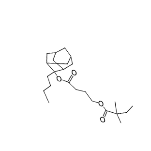 CCCCC1(OC(=O)CCCOC(=O)C(C)(C)CC)C2CC3CC(C2)CC1C3